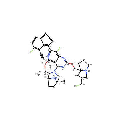 C#Cc1c(F)ccc2cccc(-c3nc4c5c(nc(OCC67CCCN6CC(=CF)C7)nc5c3F)N3C[C@H]5CC[C@H](N5)[C@H]3[C@H](C)O4)c12